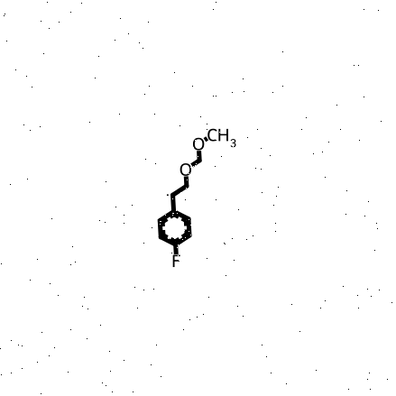 COCOC[CH]c1ccc(F)cc1